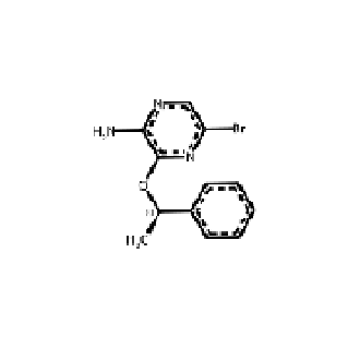 C[C@@H](Oc1nc(Br)cnc1N)c1ccccc1